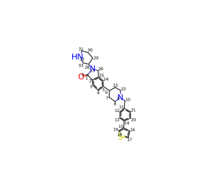 O=C1c2ccc(C3CCN(Cc4ccc(-c5ccsc5)cc4)CC3)cc2CN1C1CCCNC1